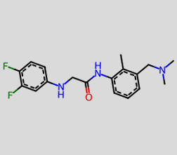 Cc1c(CN(C)C)cccc1NC(=O)CNc1ccc(F)c(F)c1